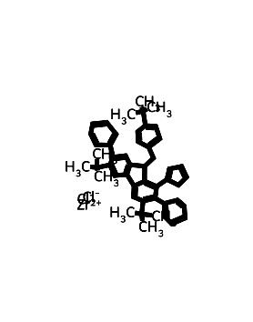 CC(C)(C)c1ccc(CC2c3cc(-c4ccccc4)c(C(C)(C)C)cc3-c3cc(C(C)(C)C)c(-c4ccccc4)c(C4=CC=CC4)c32)cc1.[Cl-].[Cl-].[Zr+2]